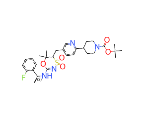 C[C@H](NC1=NS(=O)(=O)C(Cc2ccc(C3CCN(C(=O)OC(C)(C)C)CC3)nc2)C(C)(C)O1)c1ccccc1F